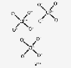 [O-][Cl+3]([O-])([O-])[O-].[O-][Cl+3]([O-])([O-])[O-].[O-][Cl+3]([O-])([O-])[O-].[V+3]